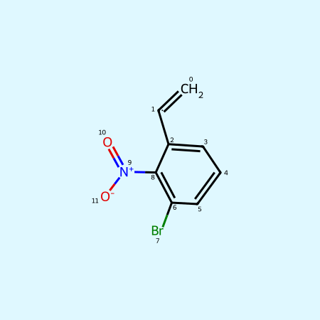 C=[C]c1cccc(Br)c1[N+](=O)[O-]